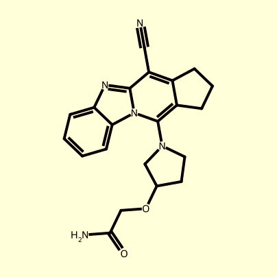 N#Cc1c2c(c(N3CCC(OCC(N)=O)C3)n3c1nc1ccccc13)CCC2